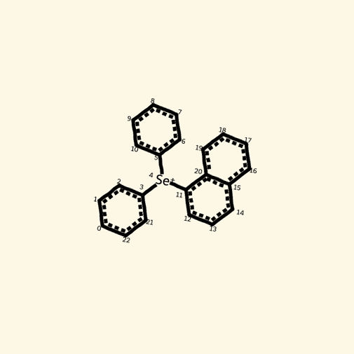 c1ccc([Se+](c2ccccc2)c2cccc3ccccc23)cc1